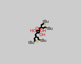 CC(C)(C)C1=CC(=CC2=C(O)C(O)(C=C3C=C(C(C)(C)C)SC(C(C)(C)C)=C3)C2(O)O)C=C(C(C)(C)C)S1